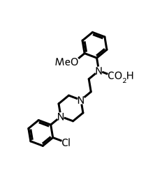 COc1ccccc1N(CCN1CCN(c2ccccc2Cl)CC1)C(=O)O